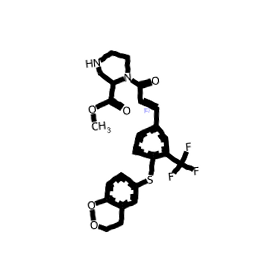 COC(=O)C1CNCCN1C(=O)/C=C/c1ccc(Sc2ccc3c(c2)CCOO3)c(C(F)(F)F)c1